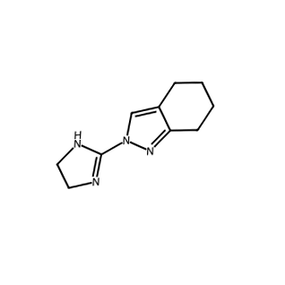 c1c2c(nn1C1=NCCN1)CCCC2